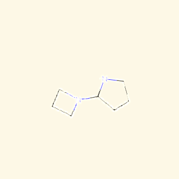 C1C[N]C(N2CCC2)C1